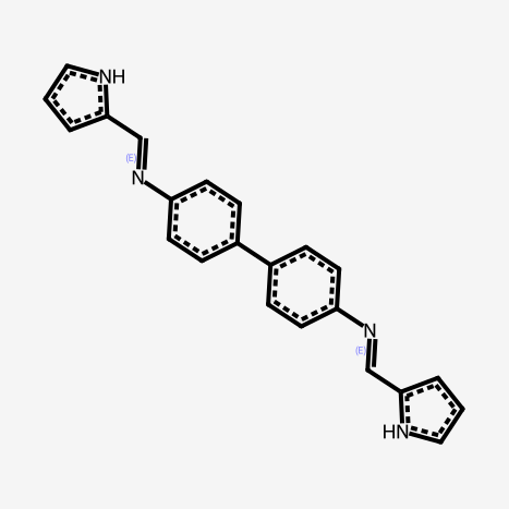 C(=N\c1ccc(-c2ccc(/N=C/c3ccc[nH]3)cc2)cc1)/c1ccc[nH]1